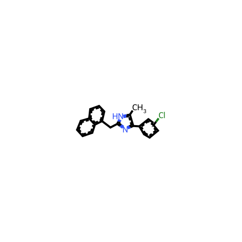 Cc1[nH]c(Cc2cccc3ccccc23)nc1-c1cccc(Cl)c1